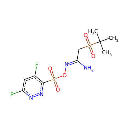 CC(C)(C)S(=O)(=O)CC(N)=NOS(=O)(=O)c1nnc(F)cc1F